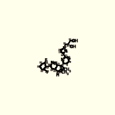 CC1(C)[C@H]2CC[C@]1(c1ccnc(-c3ccn(C[C@@H](O)CO)n3)n1)c1nnc(-c3c(F)cccc3F)cc12